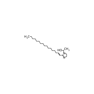 CCCCCCCCCCCCCCCC=CC1=NCCN1C(C)O